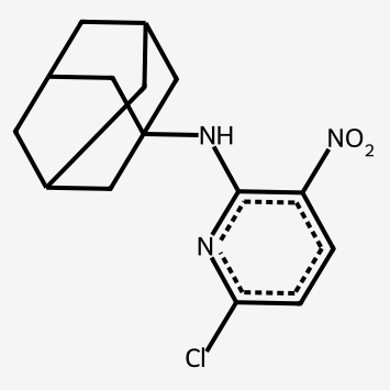 O=[N+]([O-])c1ccc(Cl)nc1NC12CC3CC(CC(C3)C1)C2